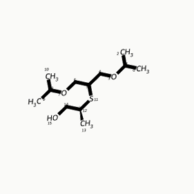 CC(C)OCC(COC(C)C)S[C@@H](C)CO